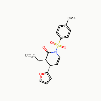 CCOC(=O)C[C@@H]1C(=O)N(S(=O)(=O)c2ccc(OC)cc2)C=C[C@@H]1c1ccco1